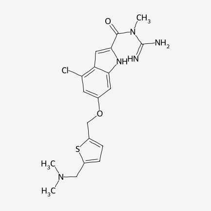 CN(C)Cc1ccc(COc2cc(Cl)c3cc(C(=O)N(C)C(=N)N)[nH]c3c2)s1